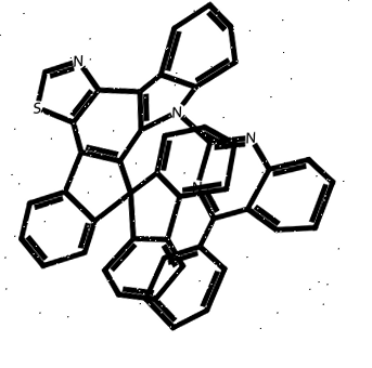 c1ccc(-c2nc(-n3c4ccccc4c4c5ncsc5c5c(c43)C3(c4ccccc4-c4ccccc43)c3ccccc3-5)nc3ccccc23)cc1